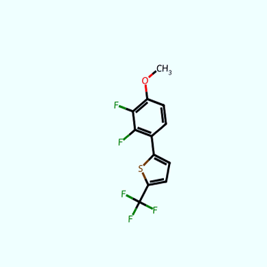 COc1ccc(-c2ccc(C(F)(F)F)s2)c(F)c1F